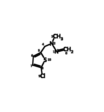 C=NN(C)Cc1ccc(Cl)s1